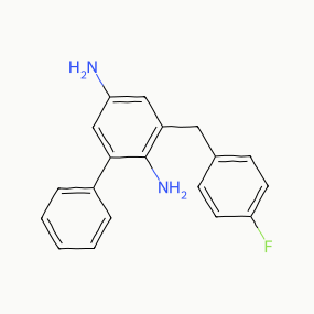 Nc1cc(Cc2ccc(F)cc2)c(N)c(-c2ccccc2)c1